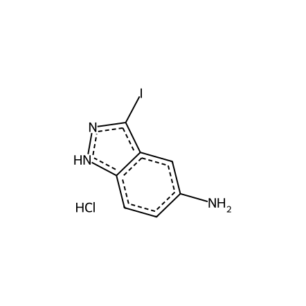 Cl.Nc1ccc2[nH]nc(I)c2c1